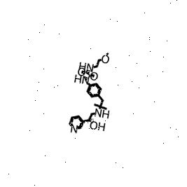 COCCNS(=O)(=O)Nc1ccc(CC(C)(C)NC[C@H](O)c2cccnc2)cc1